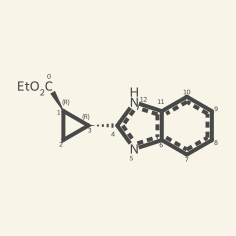 CCOC(=O)[C@@H]1C[C@H]1c1nc2ccccc2[nH]1